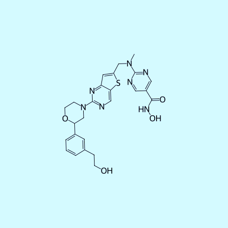 CN(Cc1cc2nc(N3CCOC(c4cccc(CCO)c4)C3)ncc2s1)c1ncc(C(=O)NO)cn1